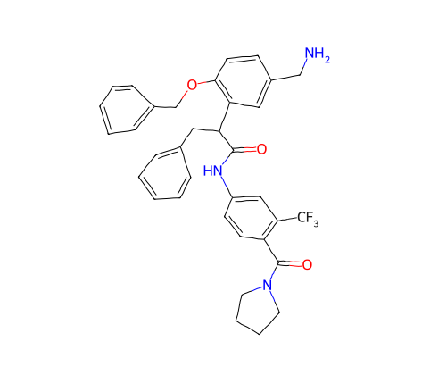 NCc1ccc(OCc2ccccc2)c(C(Cc2ccccc2)C(=O)Nc2ccc(C(=O)N3CCCC3)c(C(F)(F)F)c2)c1